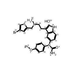 CC(C)Oc1ccc(N(C(N)=O)c2ccc3[nH]cc(CCN(C)Cc4cc(Br)cs4)c3c2)cc1.Cl